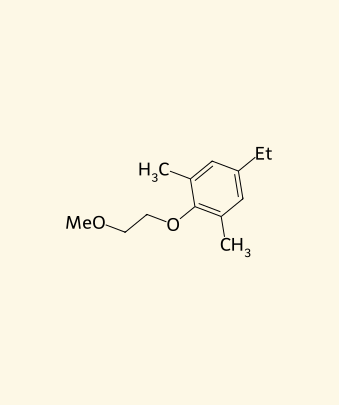 [CH2]Cc1cc(C)c(OCCOC)c(C)c1